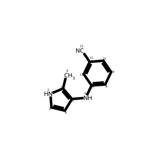 Cc1[nH]ccc1Nc1cccc(C#N)c1